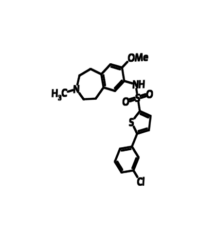 COc1cc2c(cc1NS(=O)(=O)c1ccc(-c3cccc(Cl)c3)s1)CCN(C)CC2